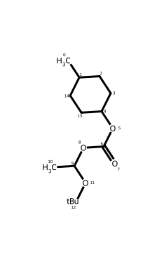 CC1CCC(OC(=O)OC(C)OC(C)(C)C)CC1